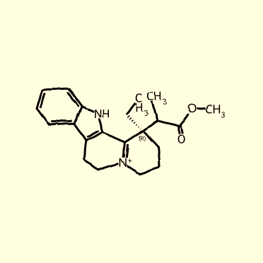 CC[C@]1(C(C)C(=O)OC)CCC[N+]2=C1c1[nH]c3ccccc3c1CC2